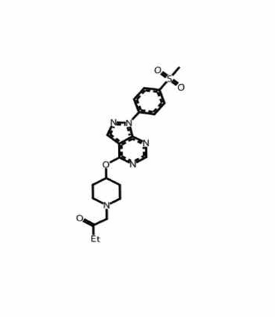 CCC(=O)CN1CCC(Oc2ncnc3c2cnn3-c2ccc(S(C)(=O)=O)cc2)CC1